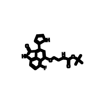 CC(C)(C)OC(=O)NCCOc1cc(-c2ccc[nH]2)c2c3c(ccc(F)c13)NC2=O